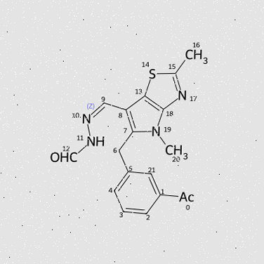 CC(=O)c1cccc(Cc2c(/C=N\NC=O)c3sc(C)nc3n2C)c1